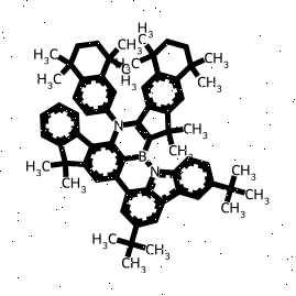 CC(C)(C)c1ccc2c(c1)c1cc(C(C)(C)C)cc3c1n2B1C2=C(c4cc5c(cc4C2(C)C)C(C)(C)CCC5(C)C)N(c2ccc4c(c2)C(C)(C)CCC4(C)C)c2c1c-3cc1c2-c2ccccc2C1(C)C